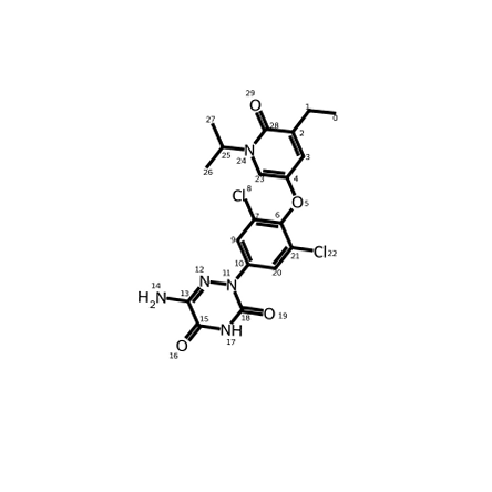 CCc1cc(Oc2c(Cl)cc(-n3nc(N)c(=O)[nH]c3=O)cc2Cl)cn(C(C)C)c1=O